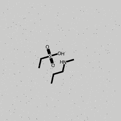 CCCNC.CCS(=O)(=O)O